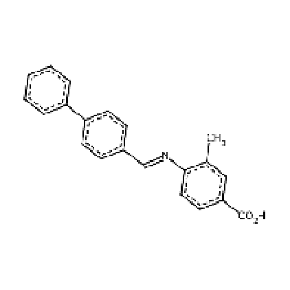 Cc1cc(C(=O)O)ccc1N=Cc1ccc(-c2ccccc2)cc1